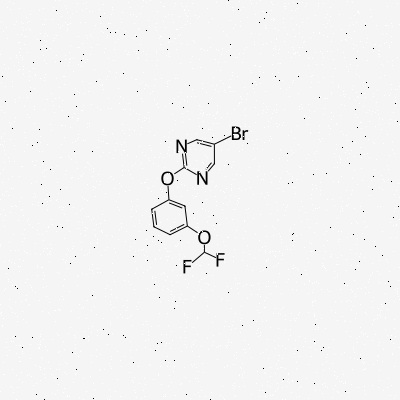 FC(F)Oc1cccc(Oc2ncc(Br)cn2)c1